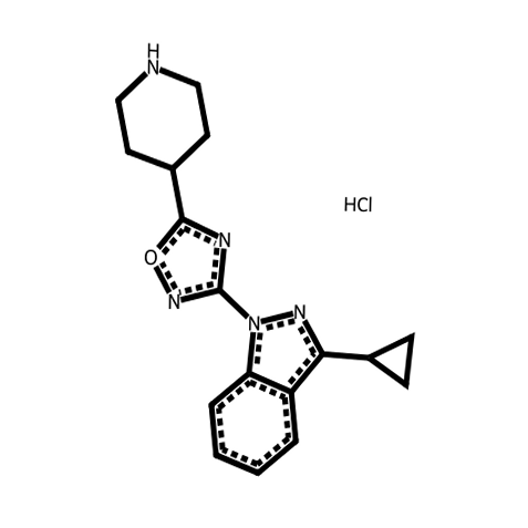 Cl.c1ccc2c(c1)c(C1CC1)nn2-c1noc(C2CCNCC2)n1